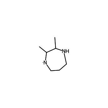 CC1[N]CCCNC1C